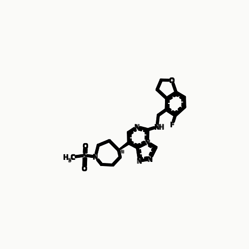 CS(=O)(=O)N1CCC[C@H](c2cnc(NCc3c(F)ccc4c3CCO4)n3cnnc23)CC1